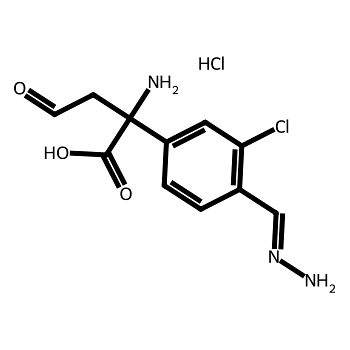 Cl.NN=Cc1ccc(C(N)(CC=O)C(=O)O)cc1Cl